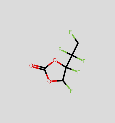 O=C1OC(F)C(F)(C(F)(F)CF)O1